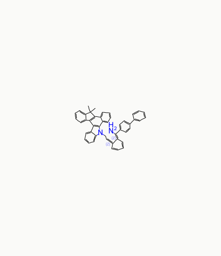 CC1(C)c2ccccc2-c2c1c1ccccc1c1c2c2ccccc2n1C/C=c1/cccc/c1=C(/N)c1ccc(-c2ccccc2)cc1